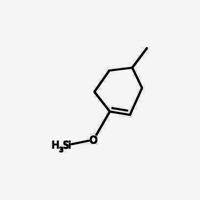 CC1CC=C(O[SiH3])CC1